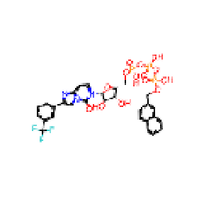 O=c1n([C@@H]2O[C@H](COP(=O)(O)OP(=O)(O)OP(=O)(O)OCc3ccc4ccccc4c3)[C@H](O)C2O)ccc2nc(-c3cccc(C(F)(F)F)c3)cn12